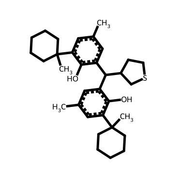 Cc1cc(C(c2cc(C)cc(C3(C)CCCCC3)c2O)C2CCSC2)c(O)c(C2(C)CCCCC2)c1